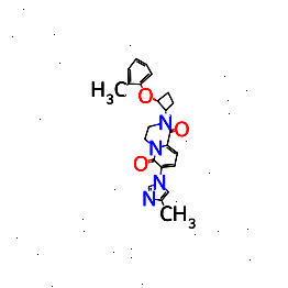 Cc1cn(-c2ccc3n(c2=O)CCN([C@H]2CC[C@@H]2Oc2ccccc2C)C3=O)cn1